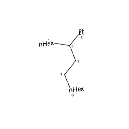 [CH2]CCCCCCCC(CC)CCCCC[CH2]